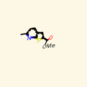 COC(=O)c1cc2ccc(C)nc2s1